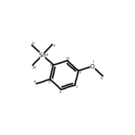 COc1ccc(C)[c]([Sn]([CH3])([CH3])[CH3])c1